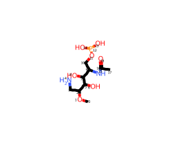 COC(CN)C(O)C(O)C(COP(O)O)NC(C)=O